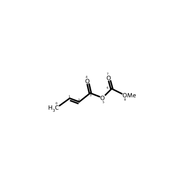 C/C=C/C(=O)OC(=O)OC